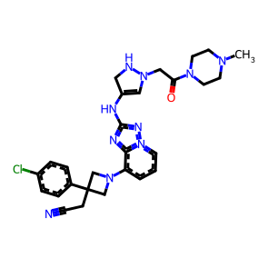 CN1CCN(C(=O)CN2C=C(Nc3nc4c(N5CC(CC#N)(c6ccc(Cl)cc6)C5)cccn4n3)CN2)CC1